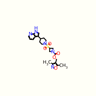 Cc1noc(C)c1COC(=O)N1CC(S(=O)(=O)N2CCC(c3c[nH]c4ncccc34)CC2)C1